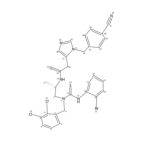 C[C@@H](CN(Cc1cccc(Cl)c1Cl)C(=S)Nc1ccccc1Br)NC(=O)Cc1cncn1Cc1ccc(C#N)cc1